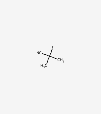 CC(C)(F)C#N